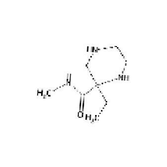 CCC1(C(=O)NC)CNCCN1